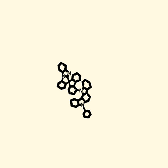 c1ccc(-n2c3ccccc3c3c2ccc2c4ccccc4n(-c4cccc5c4-c4ccccc4C54c5ccccc5-n5c4nc4ccccc45)c23)cc1